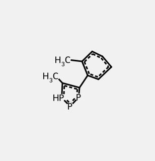 Cc1ccccc1-c1pp[pH]c1C